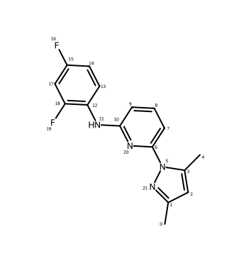 Cc1cc(C)n(-c2cccc(Nc3ccc(F)cc3F)n2)n1